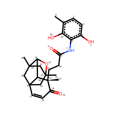 Cc1ccc(O)c(NC(=O)CC[C@]2(C)C(=O)C=CC34CC5(C)CC(C)(C3)C(O5)C42)c1O